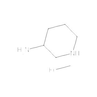 CCC.NC1CCCNC1